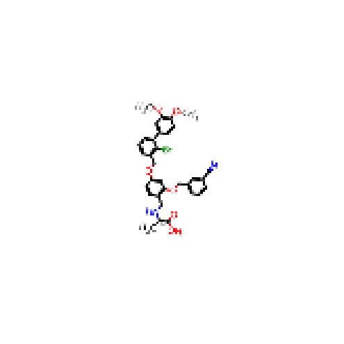 COc1ccc(-c2cccc(COc3ccc(CN[C@@H](C)C(=O)O)c(OCc4cccc(C#N)c4)c3)c2Br)cc1OC